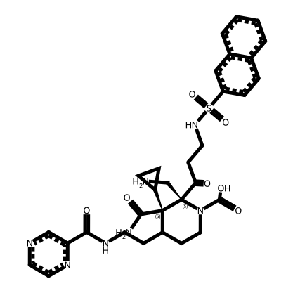 NC[C@@]1(C(=O)CCNS(=O)(=O)c2ccc3ccccc3c2)N(C(=O)O)CCC(CCNC(=O)c2cnccn2)[C@@]1(C(N)=O)C1CC1